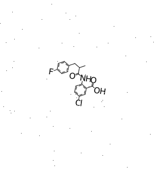 CC(Cc1ccc(F)cc1)C(=O)Nc1ccc(Cl)cc1C(=O)O